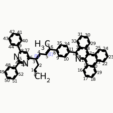 C=CC/C(=C\C=C(/C)c1ccc(-c2nc3c4ccccc4c4ccccc4c3c3ccccc23)cc1)c1cc(-c2ccccc2)nc(-c2ccccc2)n1